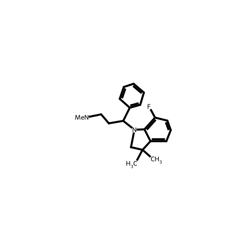 CNCCC(c1ccccc1)N1CC(C)(C)c2cccc(F)c21